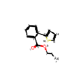 CC(=O)CCOC(=O)c1ccccc1-c1cccs1